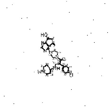 CC1C[C@@H](O)c2ncnc(N3CCN(C(=O)[C@H](CNC4CCNCC4)c4ccc(Cl)cc4)CC3)c21